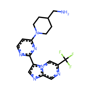 NCC1CCN(c2ccnc(-c3cnc4cnc(C(F)(F)F)cn34)n2)CC1